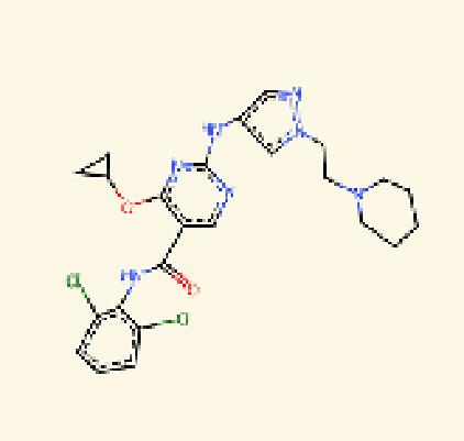 O=C(Nc1c(Cl)cccc1Cl)c1cnc(Nc2cnn(CCN3CCCCC3)c2)nc1OC1CC1